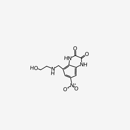 O=c1[nH]c2cc([N+](=O)[O-])cc(CNCCO)c2[nH]c1=O